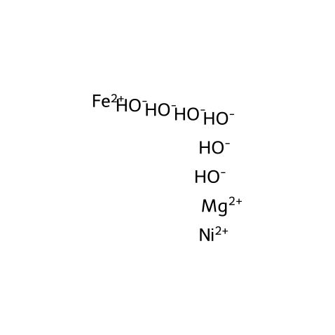 [Fe+2].[Mg+2].[Ni+2].[OH-].[OH-].[OH-].[OH-].[OH-].[OH-]